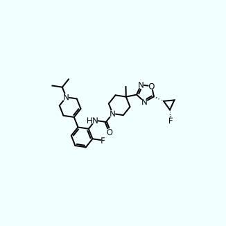 CC(C)N1CC=C(c2cccc(F)c2NC(=O)N2CCC(C)(c3noc([C@@H]4C[C@@H]4F)n3)CC2)CC1